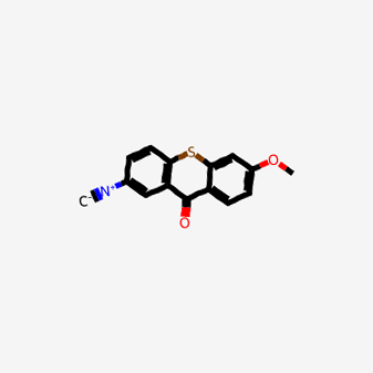 [C-]#[N+]c1ccc2sc3cc(OC)ccc3c(=O)c2c1